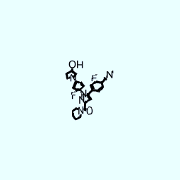 N#Cc1ccc(-c2cc(C(=O)N3CCCCC3)nn2-c2ccc(N3CCC(O)C3)cc2F)cc1F